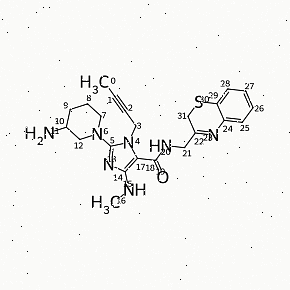 CC#CCn1c(N2CCCC(N)C2)nc(NC)c1C(=O)NCC1=Nc2ccccc2SC1